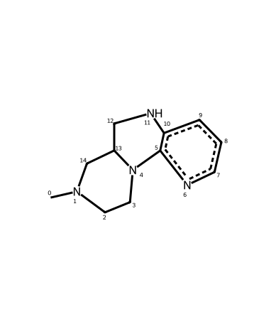 CN1CCN2c3ncccc3NCC2C1